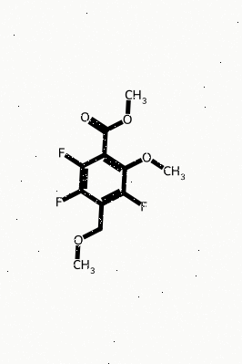 COCc1c(F)c(F)c(C(=O)OC)c(OC)c1F